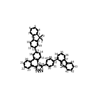 CC1(C)c2ccccc2-c2ccc(-c3ccc4c(c3)c3ccccc3c3nnc(-c5ccc(-c6cccc7c6sc6ccccc67)cc5)n43)cc21